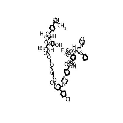 Cc1ncsc1-c1ccc([C@H](C)NC(=O)[C@@H]2C[C@@H](O)CN2C(=O)[C@@H](NC(=O)COCCOCCOCCOC(=O)N2CCC(c3ccc(Cl)cc3)=C(CN3CCN(c4ccc(C(=O)NS(=O)(=O)c5ccc(N[C@H](CCN6CCOCC6)CSc6ccccc6)c(S(=O)(=O)C(F)(F)F)c5)cc4)CC3)C2)C(C)(C)C)cc1